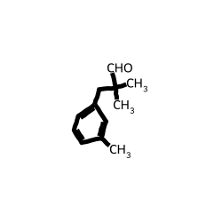 Cc1cccc(CC(C)(C)C=O)c1